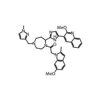 COc1ccc2cc(C)n(CC(=O)N3CCN(Cc4ccn(C)n4)CCC3c3ncc(-c4cc5ccccc5nc4OC)[nH]3)c2c1